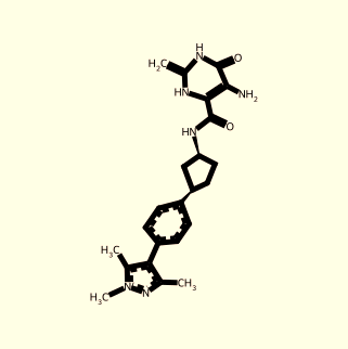 C=C1NC(=O)C(N)=C(C(=O)N[C@H]2CC[C@@H](c3ccc(-c4c(C)nn(C)c4C)cc3)C2)N1